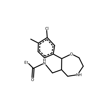 CCC(=O)NCC1CNCCOC1c1ccc(C)c(Cl)c1